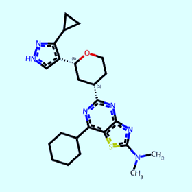 CN(C)c1nc2nc([C@H]3CCO[C@@H](c4c[nH]nc4C4CC4)C3)nc(C3CCCCC3)c2s1